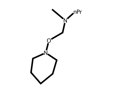 CCCN(C)CON1CCCCC1